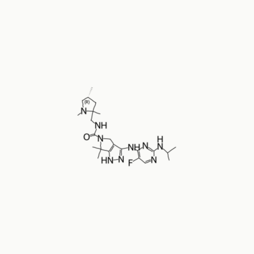 CC(C)Nc1ncc(F)c(Nc2n[nH]c3c2CN(C(=O)NCC2(C)C[C@@H](C)CN2C)C3(C)C)n1